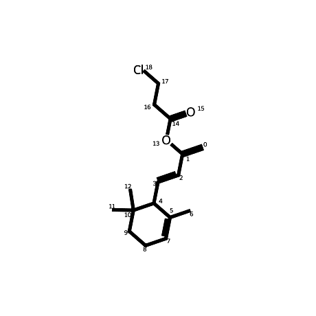 C=C(C=CC1C(C)=CCCC1(C)C)OC(=O)CCCl